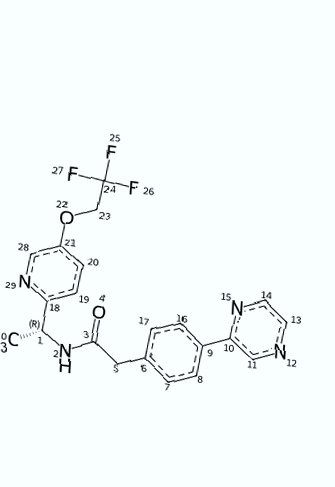 C[C@@H](NC(=O)Cc1ccc(-c2cnccn2)cc1)c1ccc(OCC(F)(F)F)cn1